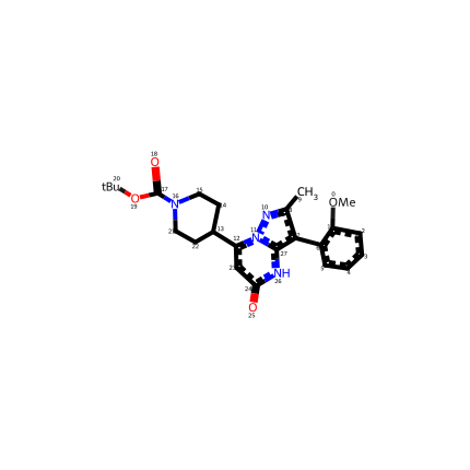 COc1ccccc1-c1c(C)nn2c(C3CCN(C(=O)OC(C)(C)C)CC3)cc(=O)[nH]c12